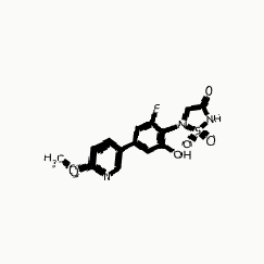 COc1ccc(-c2cc(O)c(N3CC(=O)NS3(=O)=O)c(F)c2)cn1